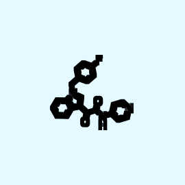 O=C(Nc1ccncc1)C(=O)c1cn(Cc2ccc(F)cc2)c2ccccc12